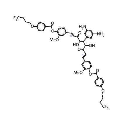 COc1cc(/C=C/C(=O)C(O)C(c2cc(N)cc(N)c2)C(O)C(=O)/C=C/c2ccc(OC(=O)c3ccc(OCCCC(F)(F)F)cc3)c(OC)c2)ccc1OC(=O)c1ccc(OCCCC(F)(F)F)cc1